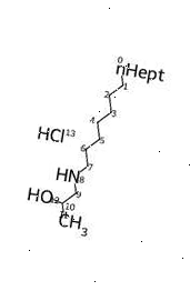 CCCCCCCCCCCCCCNCC(C)O.Cl